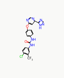 O=C(Nc1ccc(Oc2cc(-c3ncn[nH]3)ncn2)cc1)Nc1ccc(Cl)c(C(F)(F)F)c1